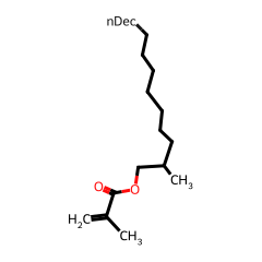 C=C(C)C(=O)OCC(C)CCCCCCCCCCCCCCCCC